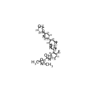 Cc1nc(C)c(C(=O)Nc2ccc(F)c(-c3nc4ncc(-c5ccc(N6CCOCC6)nc5)cn4n3)c2)o1